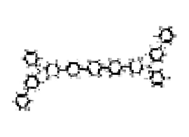 C1=C(C2=CC=C(C3=CC=C(N(c4ccccc4)c4ccc(-c5ccccc5)cc4)CC3)CC2)CCC(C2=CC=C(C3=CC=C(N(c4ccccc4)c4ccc(-c5ccccc5)cc4)CC3)CC2)=C1